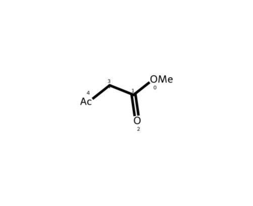 COC(=O)[CH]C(C)=O